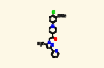 COc1cc(N2CCC(C(=O)Cn3nc(-c4ccccn4)cc3C)CC2)ccc1Cl